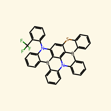 FC(F)(F)c1ccccc1N1c2ccccc2B2c3ccccc3N3c4ccccc4B4c5ccccc5Sc5cc1c2c3c54